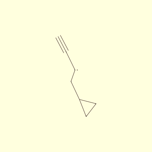 C#C[CH]CC1CC1